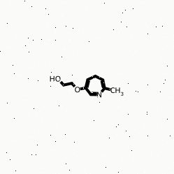 CC1=CCC=C(OCCO)C=N1